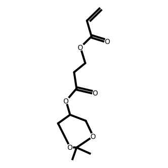 C=CC(=O)OCCC(=O)OC1COC(C)(C)OC1